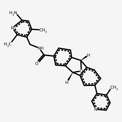 Cc1ccncc1-c1ccc2c(c1)[C@H]1O[C@@H]2c2ccc(C(=O)NCc3c(C)cc(N)nc3C)cc21